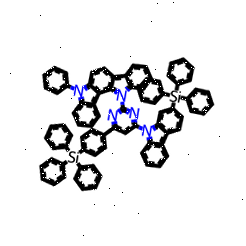 c1ccc(-n2c3ccccc3c3c2ccc2c4ccccc4n(-c4nc(-c5ccc([Si](c6ccccc6)(c6ccccc6)c6ccccc6)cc5)cc(-n5c6ccccc6c6ccc([Si](c7ccccc7)(c7ccccc7)c7ccccc7)cc65)n4)c23)cc1